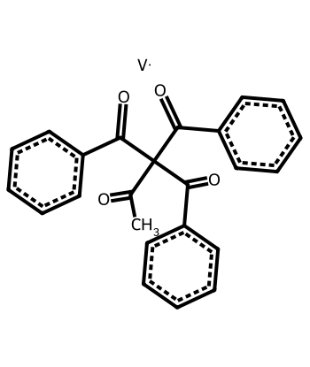 CC(=O)C(C(=O)c1ccccc1)(C(=O)c1ccccc1)C(=O)c1ccccc1.[V]